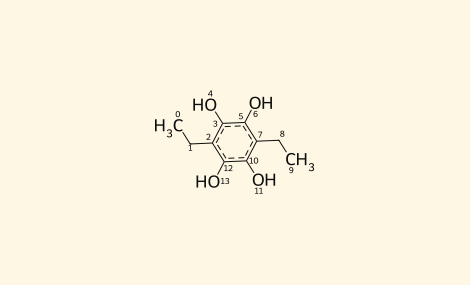 CCc1c(O)c(O)c(CC)c(O)c1O